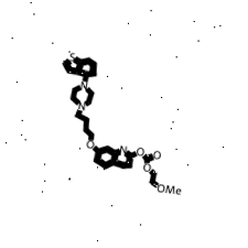 COCCOC(=O)Oc1ccc2ccc(OCCCCN3CCN(c4cccc5sccc45)CC3)cc2n1